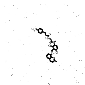 Cc1ccc2cccc(OCc3c(Cl)ccc(N(C)C(=O)CNC(=O)C=Cc4ccc(N)cc4)c3Cl)c2n1